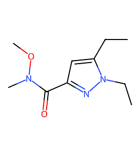 CCc1cc(C(=O)N(C)OC)nn1CC